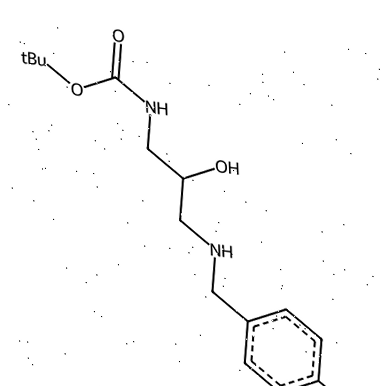 COc1ccc(CNCC(O)CNC(=O)OC(C)(C)C)cc1